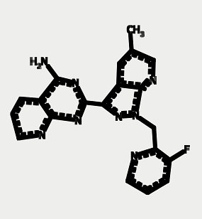 Cc1cnc2c(c1)c(-c1nc(N)c3cccnc3n1)nn2Cc1ncccc1F